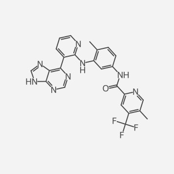 Cc1ccc(NC(=O)c2cc(C(F)(F)F)c(C)cn2)cc1Nc1ncccc1-c1ncnc2[nH]cnc12